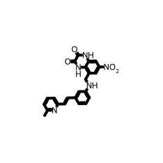 Cc1cccc(/C=C/c2cccc(NCc3cc([N+](=O)[O-])cc4[nH]c(=O)c(=O)[nH]c34)c2)n1